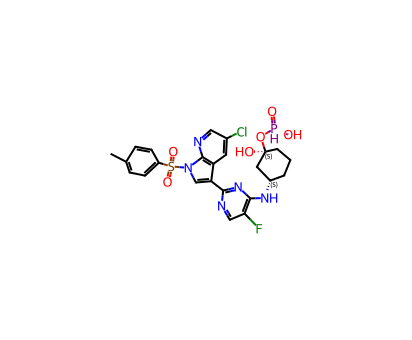 Cc1ccc(S(=O)(=O)n2cc(-c3ncc(F)c(N[C@H]4CCC[C@](O)(O[PH](=O)O)C4)n3)c3cc(Cl)cnc32)cc1